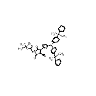 CC(C)(C)OC(=O)CN1C(=O)C(C#N)=C(c2ccc(N(c3ccc(C(C)(C)c4ccccc4)cc3)c3ccc(C(C)(C)c4ccccc4)cc3)s2)C1=O